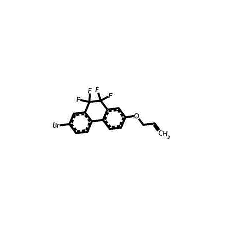 C=CCOc1ccc2c(c1)C(F)(F)C(F)(F)c1cc(Br)ccc1-2